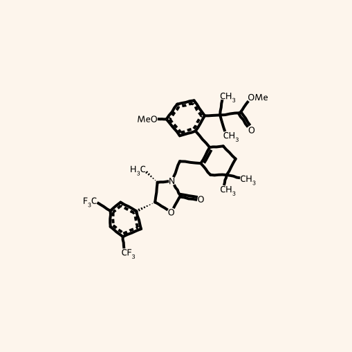 COC(=O)C(C)(C)c1ccc(OC)cc1C1=C(CN2C(=O)O[C@H](c3cc(C(F)(F)F)cc(C(F)(F)F)c3)[C@@H]2C)CC(C)(C)CC1